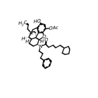 C=CCN1CC[C@]23c4c5c(O)cc(OC(C)=O)c4O[C@H]2[C@H](N(CCCc2ccccc2)C(=O)CCCCC2CCCCC2)CC[C@H]3[C@H]1C5